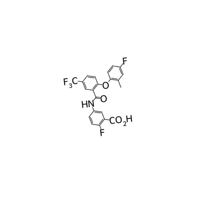 Cc1cc(F)ccc1Oc1ccc(C(F)(F)F)cc1C(=O)Nc1ccc(F)c(C(=O)O)c1